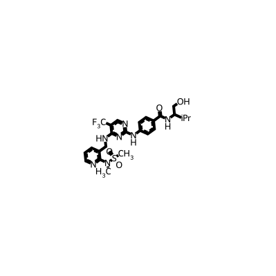 CC(C)C(CO)NC(=O)c1ccc(Nc2ncc(C(F)(F)F)c(NCc3cccnc3N(C)S(C)(=O)=O)n2)cc1